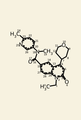 CCn1c(=O)cc(C2CCOCC2)c2cc(C(=O)N(C)c3ccc(C)nc3)ccc21